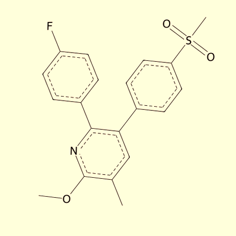 COc1nc(-c2ccc(F)cc2)c(-c2ccc(S(C)(=O)=O)cc2)cc1C